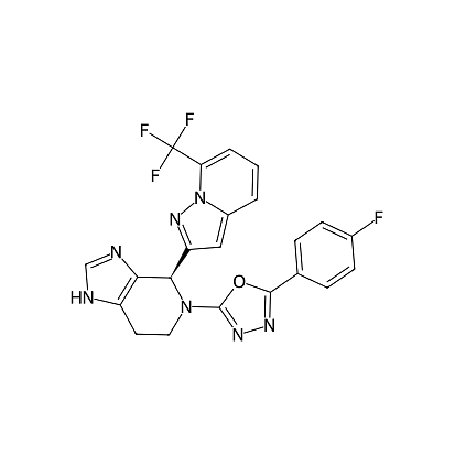 Fc1ccc(-c2nnc(N3CCc4[nH]cnc4[C@H]3c3cc4cccc(C(F)(F)F)n4n3)o2)cc1